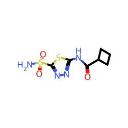 NS(=O)(=O)c1nnc(NC(=O)C2CCC2)s1